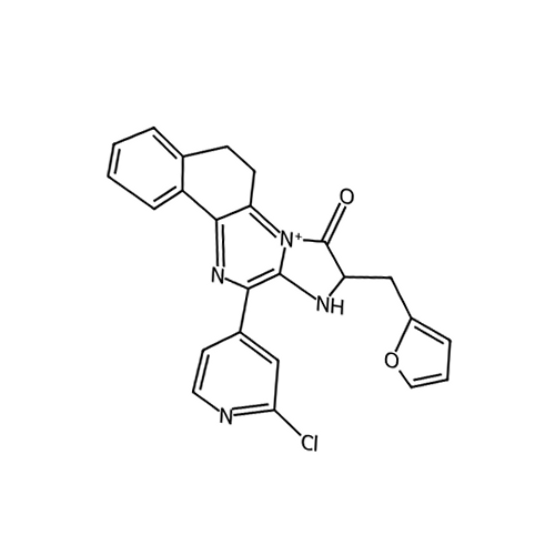 O=C1C(Cc2ccco2)Nc2c(-c3ccnc(Cl)c3)nc3c([n+]21)CCc1ccccc1-3